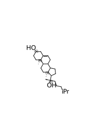 CC(C)CCC[C@](C)(O)C1CCC2C3CC=C4C[C@@H](O)CC[C@]4(C)C3CC[C@@]21C